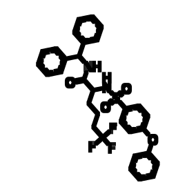 O=C(NC(c1ccccc1)c1ccccc1)C(CCCC(F)(F)F)NS(=O)(=O)c1ccc(Oc2ccccc2)cc1